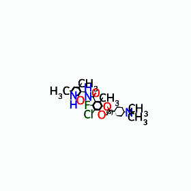 Cc1cc(C)c(CNC(=O)c2c(C)c3c(c(Cl)c2F)OC[C@H]([C@H]2CC[C@@H](N(C)C)CC2)O3)c(=O)[nH]1